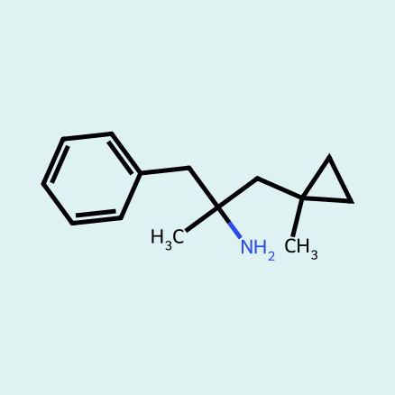 CC(N)(Cc1ccccc1)CC1(C)CC1